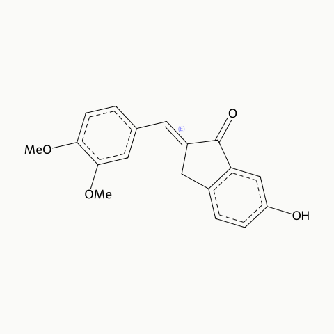 COc1ccc(/C=C2\Cc3ccc(O)cc3C2=O)cc1OC